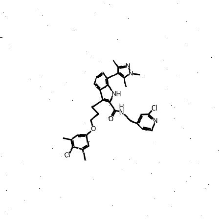 Cc1cc(OCCCc2c(C(=O)NCc3ccnc(Cl)c3)[nH]c3c(-c4c(C)nn(C)c4C)cccc23)cc(C)c1Cl